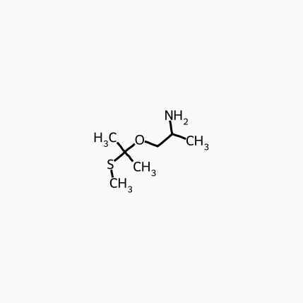 CSC(C)(C)OCC(C)N